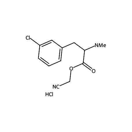 CNC(Cc1cccc(Cl)c1)C(=O)OCC#N.Cl